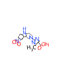 Cc1nc(N2CCc3[nH]c4ccc([N+](=O)[O-])cc4c3C2)ncc1C(=O)O